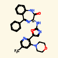 O=C1Nc2ccccc2C(c2ccccc2)=N[C@H]1Nc1ncc(-c2ncc(C(F)(F)F)cc2N2CCOCC2)o1